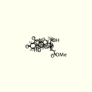 COC(=O)CCC(=O)O[C@]1(C(=O)CO)[C@@H](CF)C[C@H]2[C@@H]3CC(=O)C4=CC(=O)C=C[C@]4(C)[C@H]3[C@@H](O)C[C@@]21C